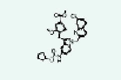 COC(=O)c1ccc(Cc2cn(Cc3ccc4ccc(Cl)cc4n3)c3ccc(NC(=O)OC4CCCC4)cc23)c(OC)c1